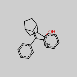 CC(O)C1CC2CCC1C2=C(c1ccccc1)c1ccccc1